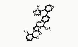 CCCCc1cn(-c2c(Cl)cccc2Cl)c(=O)n1C(C)c1ccc(-c2cnccc2-c2nnn[nH]2)cc1